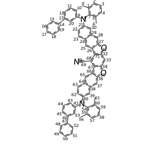 Cc1cccc(C)c1N(c1cccc(-c2ccccc2)c1)c1ccc2cc3c(cc2c1)oc1cc2oc4cc5cc(N(c6cccc(-c7ccccc7)c6)c6c(C)cccc6C)ccc5cc4c2c(C#N)c13